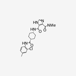 CNC(=O)c1nc[nH]c1C(=O)N[C@H]1CC[C@H](C(=O)Nc2ccc(C)cc2Cl)CC1